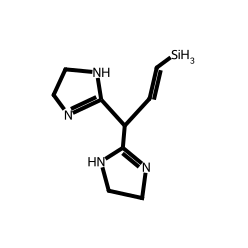 [SiH3]C=CC(C1=NCCN1)C1=NCCN1